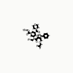 CC(C)CN(C(=O)c1nnn(-c2ccccc2)c1COCC(F)F)[C@H]1C[C@@H](C(=O)N2CCOCC2)CN(C(=O)OC(C)(C)C)C1